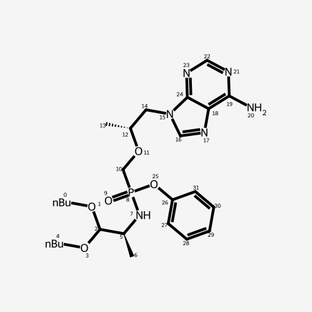 CCCCOC(OCCCC)[C@H](C)NP(=O)(CO[C@H](C)Cn1cnc2c(N)ncnc21)Oc1ccccc1